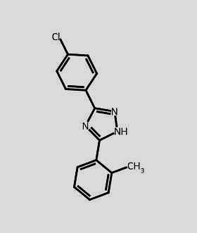 Cc1ccccc1-c1nc(-c2ccc(Cl)cc2)n[nH]1